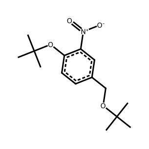 CC(C)(C)OCc1ccc(OC(C)(C)C)c([N+](=O)[O-])c1